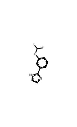 FC(F)Oc1cccc(-c2n[c]c[nH]2)c1